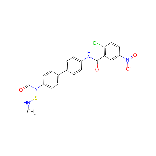 CNSN(C=O)c1ccc(-c2ccc(NC(=O)c3cc([N+](=O)[O-])ccc3Cl)cc2)cc1